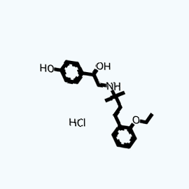 CCOc1ccccc1CCC(C)(C)NCC(O)c1ccc(O)cc1.Cl